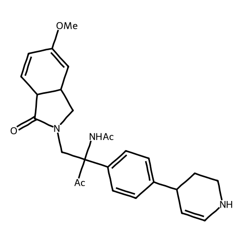 COC1=CC2CN(CC(NC(C)=O)(C(C)=O)c3ccc(C4C=CNCC4)cc3)C(=O)C2C=C1